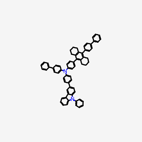 c1ccc(-c2ccc(-c3c4c(c(-c5ccc(N(c6ccc(-c7ccccc7)cc6)c6ccc(-c7ccc8c(c7)c7ccccc7n8-c7ccccc7)cc6)cc5)c5c3CCCC5)CCCC4)cc2)cc1